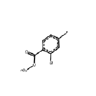 CCCCOC(=O)c1ccc(F)cc1Cl